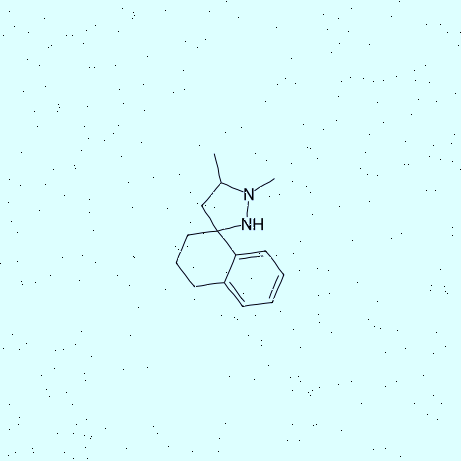 CC1CC2(CCCc3ccccc32)NN1C